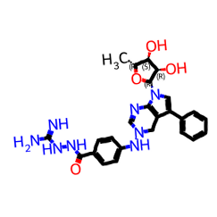 C[C@H]1O[C@@H](n2cc(-c3ccccc3)c3c2N=CN(Nc2ccc(C(=O)NNC(=N)N)cc2)C3)[C@H](O)[C@@H]1O